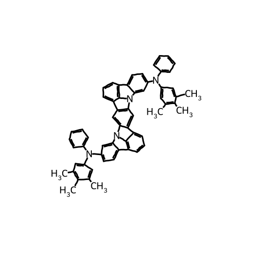 Cc1cc(N(c2ccccc2)c2ccc3c4cccc5c6cc7c(cc6n(c3c2)c45)c2cccc3c4ccc(N(c5ccccc5)c5cc(C)c(C)c(C)c5)cc4n7c32)cc(C)c1C